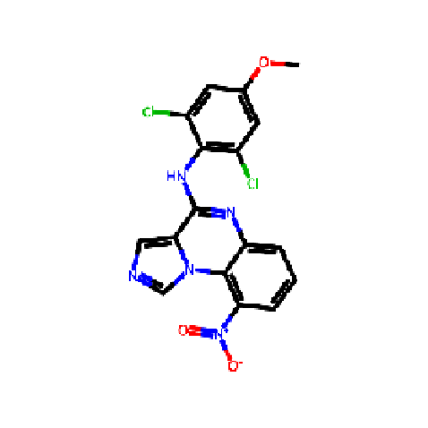 COc1cc(Cl)c(Nc2nc3cccc([N+](=O)[O-])c3n3cncc23)c(Cl)c1